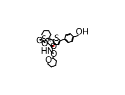 O=C(C[C@]1(c2ccc(-c3ccc(CO)cc3)s2)CCCCS1(=O)=O)NOC1CCCCO1